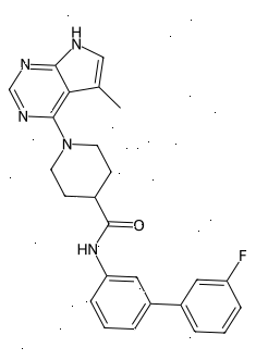 Cc1c[nH]c2ncnc(N3CCC(C(=O)Nc4cccc(-c5cccc(F)c5)c4)CC3)c12